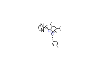 CCC1CC(=C(C)C)SC(=C\CCc2ccc(C)cc2)/C1=C/Sc1ncccn1